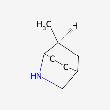 C[C@H]1CC2CCC1NC2